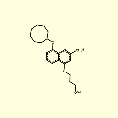 COCCCOc1cc(C(=O)O)nc2c(OC3CCCCCCC3)cccc12